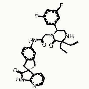 CCC1(CC)NC[C@H](c2cc(F)cc(F)c2)N(CC(=O)Nc2ccc3c(c2)C[C@@]2(C3)C(=O)Nc3ncccc32)C1=O